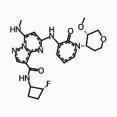 CNc1cc(Nc2cccn([C@H]3CCOC[C@H]3OC)c2=O)nc2c(C(=O)NC3CC[C@H]3F)cnn12